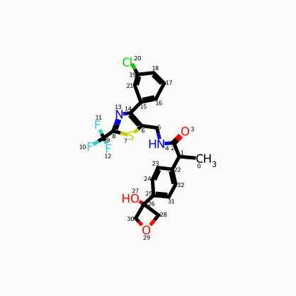 CC(C(=O)NCc1sc(C(F)(F)F)nc1-c1cccc(Cl)c1)c1ccc(C2(O)COC2)cc1